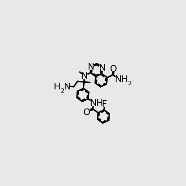 CN(c1ncnc2c(C(N)=O)cccc12)C(C)(CCN)c1cccc(NC(=O)c2ccccc2F)c1